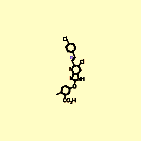 Cc1ccc(Oc2nc3nc(/C=C/c4ccc(Cl)cc4)c(Cl)cc3[nH]2)cc1C(=O)O